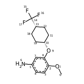 COc1ccc(N)cc1O[C@H]1CC[C@@H](C(F)(F)F)CC1